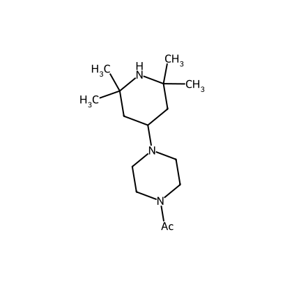 CC(=O)N1CCN(C2CC(C)(C)NC(C)(C)C2)CC1